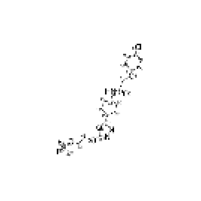 O=C(COc1ccc(Cl)cc1)NC1CCC(c2nnc(OCCOC(F)(F)F)o2)CC1